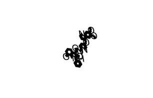 COc1cc2nccc(Oc3ccc(NC(=O)c4c5c(cn(-c6ccccc6)c4=O)C(=O)CCC5)nc3)c2cc1OC